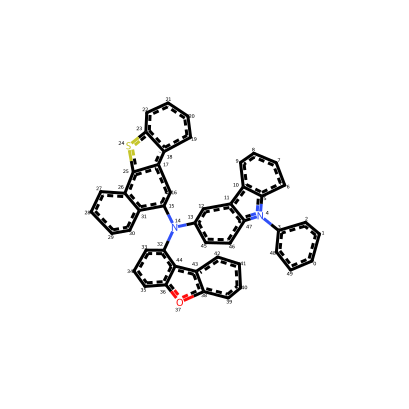 c1ccc(-n2c3ccccc3c3cc(N(c4cc5c6ccccc6sc5c5ccccc45)c4cccc5oc6ccccc6c45)ccc32)cc1